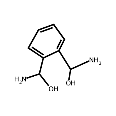 NC(O)c1ccccc1C(N)O